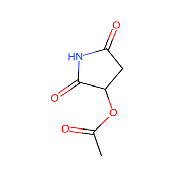 CC(=O)OC1CC(=O)NC1=O